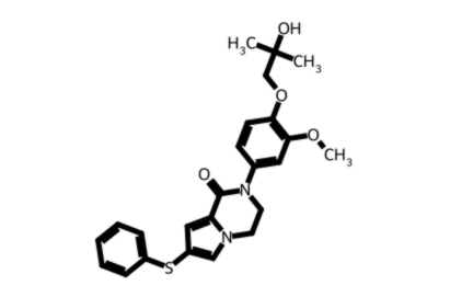 COc1cc(N2CCn3cc(Sc4ccccc4)cc3C2=O)ccc1OCC(C)(C)O